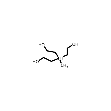 C[PH](CCO)(CCO)CCO